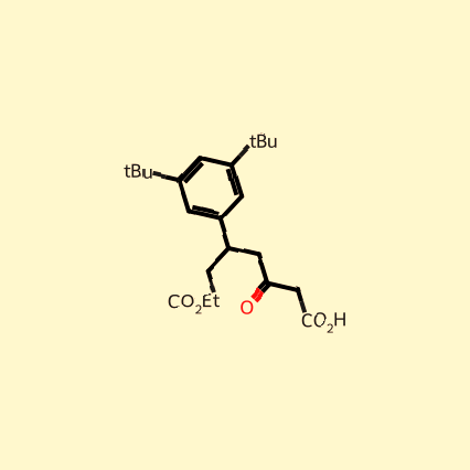 CCOC(=O)CC(CC(=O)CC(=O)O)c1cc(C(C)(C)C)cc(C(C)(C)C)c1